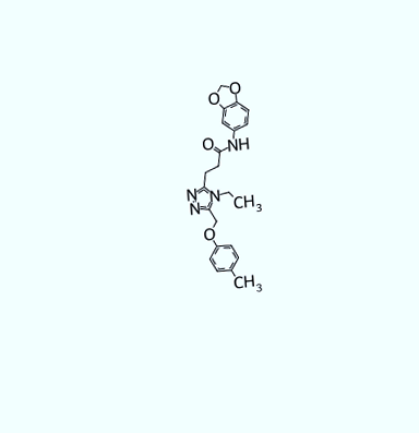 CCn1c(CCC(=O)Nc2ccc3c(c2)OCO3)nnc1COc1ccc(C)cc1